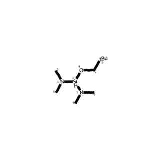 CN(C)[SiH](OCC(C)(C)C)N(C)C